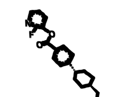 CC[C@H]1CC[C@H](c2ccc(C(=O)Oc3cccnc3F)cc2)CC1